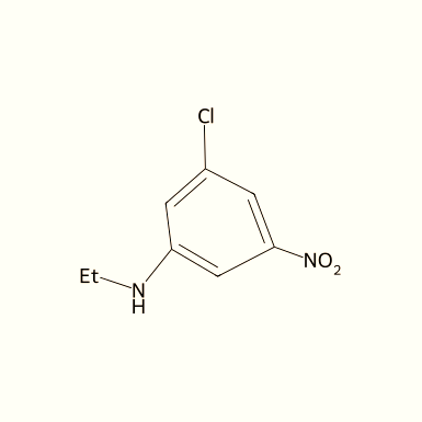 CCNc1cc(Cl)cc([N+](=O)[O-])c1